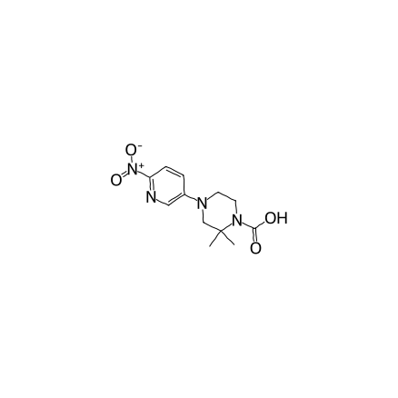 CC1(C)CN(c2ccc([N+](=O)[O-])nc2)CCN1C(=O)O